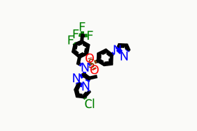 Cc1c(N(Cc2ccc(C(F)(F)F)c(F)c2)S(=O)(=O)c2ccc(-n3cccn3)cc2)nc2ccc(Cl)cn12